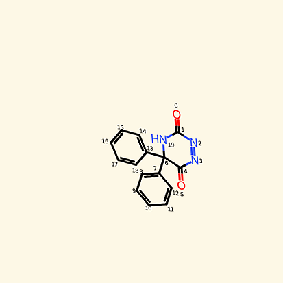 O=C1N=NC(=O)C(c2ccccc2)(c2ccccc2)N1